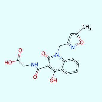 Cc1cc(Cn2c(=O)c(C(=O)NCC(=O)O)c(O)c3ccccc32)no1